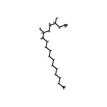 CC(C)CCCCCCCCCCOC(C)COC(C)CO